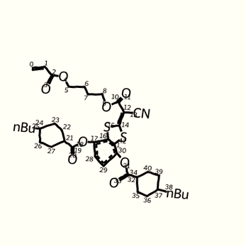 C=CC(=O)OCCCCOC(=O)C(C#N)=C1Sc2c(OC(=O)C3CCC(CCCC)CC3)ccc(OC(=O)C3CCC(CCCC)CC3)c2S1